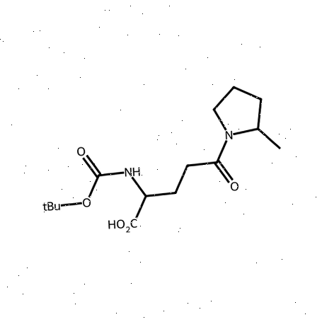 CC1CCCN1C(=O)CCC(NC(=O)OC(C)(C)C)C(=O)O